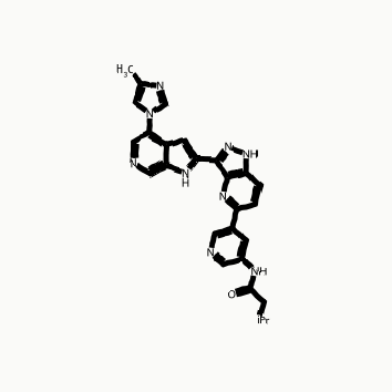 Cc1cn(-c2cncc3[nH]c(-c4n[nH]c5ccc(-c6cncc(NC(=O)CC(C)C)c6)nc45)cc23)cn1